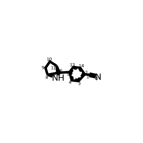 N#Cc1ccc(C2NC3CCC2C3)cc1